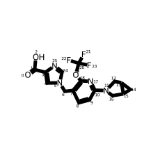 O=C(O)c1cn(Cc2ccc(N3CC4CC4C3)nc2OC(F)(F)F)cn1